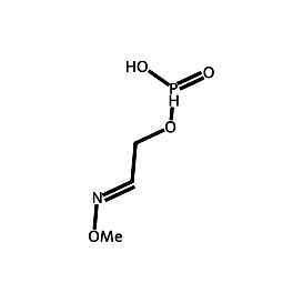 CON=CCO[PH](=O)O